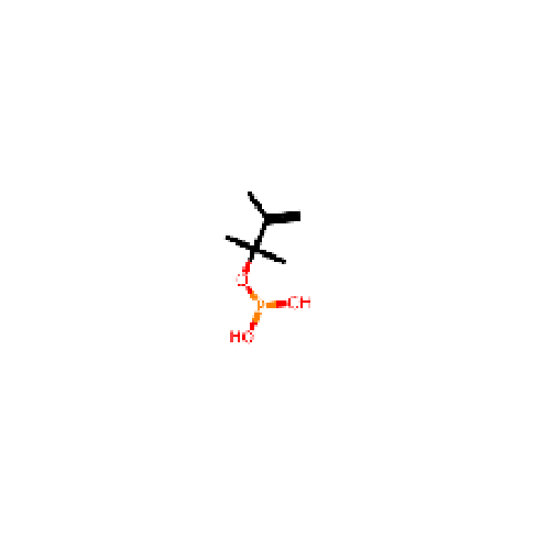 C=C(C)C(C)(C)OP(O)O